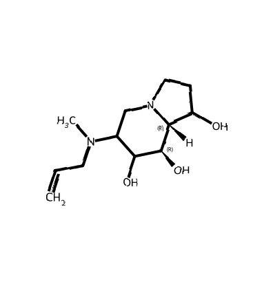 C=CCN(C)C1CN2CCC(O)[C@@H]2[C@@H](O)C1O